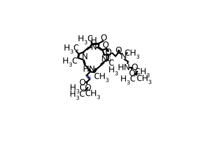 CCC1=C(C)c2cc3[nH]c(cc4nc(c5c6[nH]c(cc1n2)c(C)c6C(=O)OC5=O)[C@@H](CCC(=O)N(C)CCNC(=O)OC(C)(C)C)[C@@H]4C)c(C)c3/C=C/C(=O)OC(C)(C)C